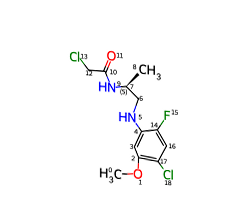 COc1cc(NC[C@H](C)NC(=O)CCl)c(F)cc1Cl